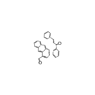 O=C(C=Cc1ccccc1)c1ccccc1.O=Cc1cccc2cc3ccccc3cc12